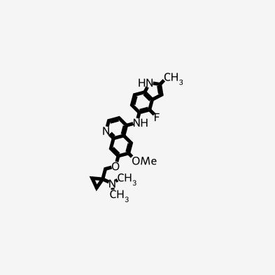 COc1cc2c(Nc3ccc4[nH]c(C)cc4c3F)ccnc2cc1OCC1(N(C)C)CC1